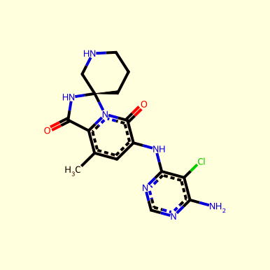 Cc1cc(Nc2ncnc(N)c2Cl)c(=O)n2c1C(=O)N[C@@]21CCCNC1